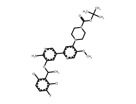 COc1cnc(-c2cnc(N)c(OC(C)c3c(Cl)ccc(F)c3Cl)c2)cc1N1CCN(C(=O)OC(C)(C)C)CC1